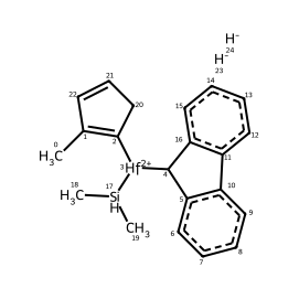 CC1=[C]([Hf+2]([CH]2c3ccccc3-c3ccccc32)[SiH](C)C)CC=C1.[H-].[H-]